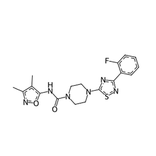 Cc1noc(NC(=O)N2CCN(c3nc(-c4ccccc4F)ns3)CC2)c1C